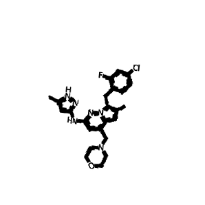 Cc1cc(Nc2cc(CN3CCOCC3)c3cc(C)c(Cc4ccc(Cl)cc4F)n3n2)n[nH]1